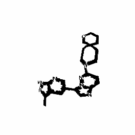 Cc1n[nH]c2ncc(-c3cnc4ccc(N5CCC6(CCCOC6)CC5)nn34)cc12